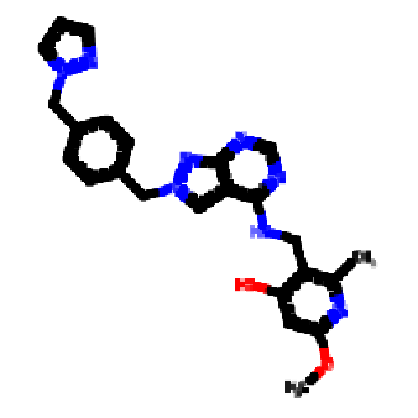 COc1cc(O)c(CNc2ncnc3nn(Cc4ccc(Cn5cccn5)cc4)cc23)c(C)n1